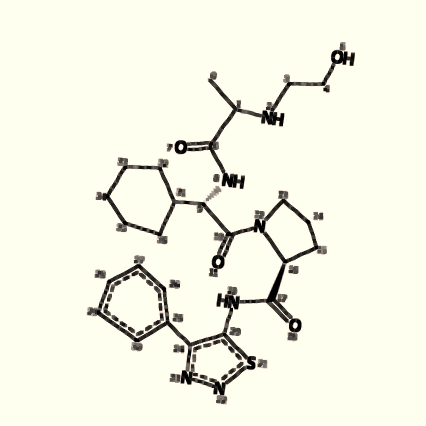 CC(NCCO)C(=O)N[C@H](C(=O)N1CCC[C@H]1C(=O)Nc1snnc1-c1ccccc1)C1CCCCC1